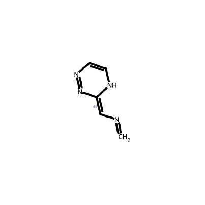 C=N/C=C1/N=NC=CN1